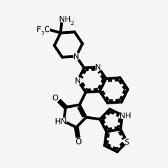 NC1(C(F)(F)F)CCN(c2nc(C3=C(c4c[nH]c5sccc45)C(=O)NC3=O)c3ccccc3n2)CC1